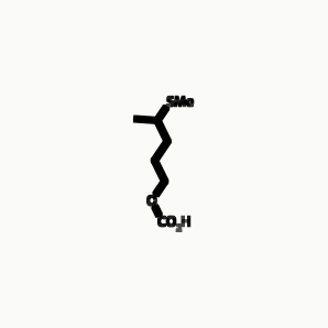 CSC(C)CCCOC(=O)O